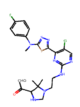 CN(c1ccc(F)cc1)c1nnc(-c2nc(NCCN3CNC(C(=O)C=O)C3(C)C)ncc2Cl)s1